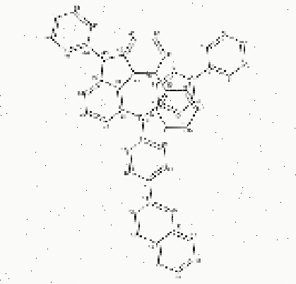 c1ccc(-c2ccc(N(c3ccc(-c4ccc5ccccc5c4)cc3)c3cccc4c3c3c(-c5ccccc5)cccc3n4-c3ccccc3)cc2)cc1